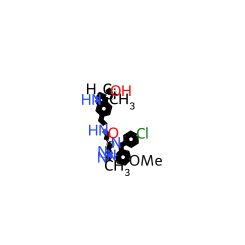 COc1ccc2c(c1)C(c1ccc(Cl)cc1)=N[C@@H](CC(=O)NCCc1ccc3c([Si](C)(C)O)c[nH]c3c1)c1nnc(C)n1-2